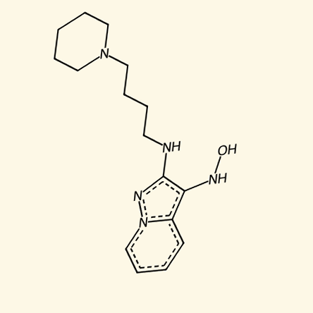 ONc1c(NCCCCN2CCCCC2)nn2ccccc12